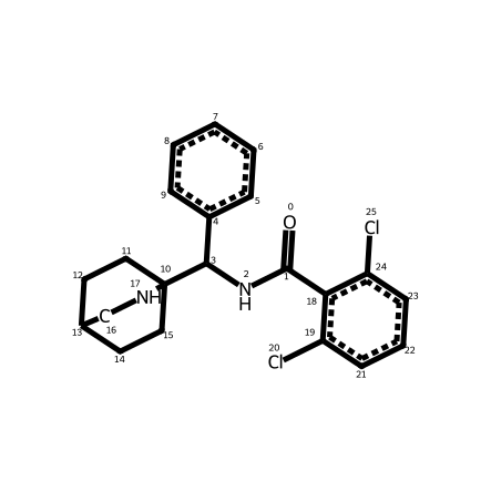 O=C(NC(c1ccccc1)C12CCC(CC1)CN2)c1c(Cl)cccc1Cl